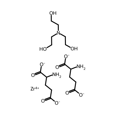 NC(CCC(=O)[O-])C(=O)[O-].NC(CCC(=O)[O-])C(=O)[O-].OCCN(CCO)CCO.[Zr+4]